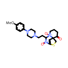 COc1ccc(N2CCN(CCC3[N+](=O)C4=CC5(CS4)C(=O)CCC[N+]35[O-])CC2)cc1